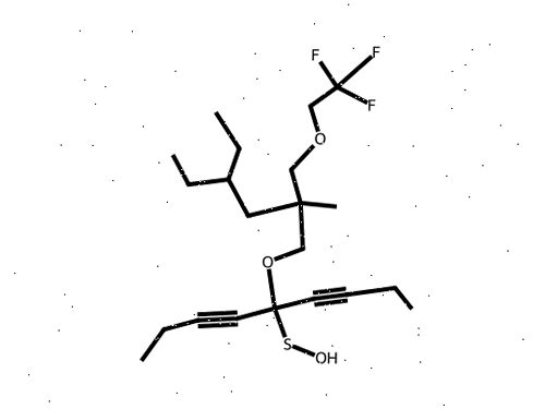 CCC#CC(C#CCC)(OCC(C)(COCC(F)(F)F)CC(CC)CC)SO